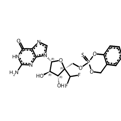 Nc1nc2c(ncn2[C@@H]2O[C@@](COP3(=S)OCc4ccccc4O3)(C(F)F)[C@H](O)[C@H]2O)c(=O)[nH]1